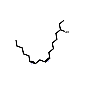 [CH2]CC(O)CCCCC/C=C\C/C=C\CCCCC